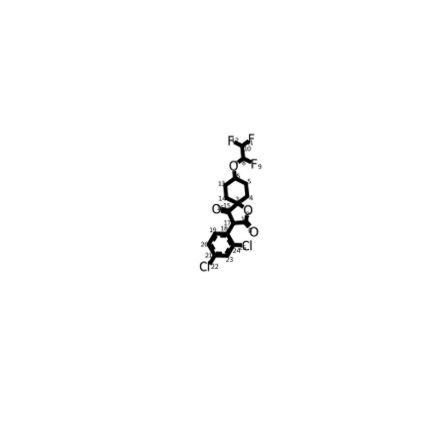 O=C1OC2(CCC(OC(F)C(F)F)CC2)C(=O)C1c1ccc(Cl)cc1Cl